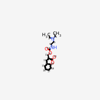 CCN(CC)CCNC(=O)OCc1cc2ccccc2oc1=O